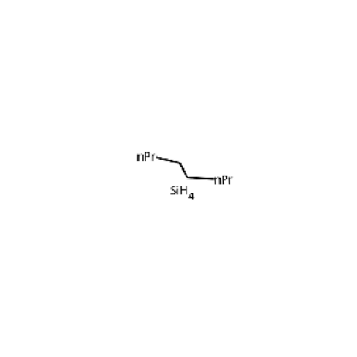 CCCCCCCC.[SiH4]